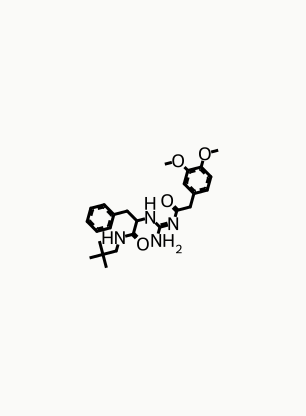 COc1ccc(CC(=O)N=C(N)NC(Cc2ccccc2)C(=O)NCC(C)(C)C)cc1OC